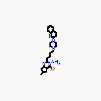 CC1Cc2nc(CCCCN3CCN(c4ccc5ccccc5n4)CC3)n(N)c(=O)c2C1